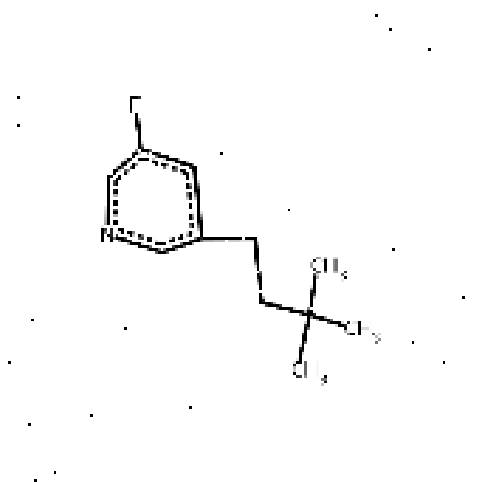 CC(C)(C)CCc1cncc(F)c1